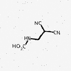 N#CC(C#N)CNC(=O)O